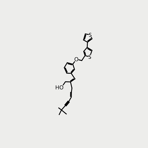 CC(C)(C)C#CC=CCC(=Cc1cccc(OCc2cc(-c3ccsc3)cs2)c1)CO